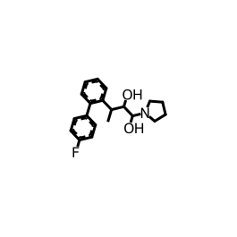 CC(c1ccccc1-c1ccc(F)cc1)C(O)C(O)N1CCCC1